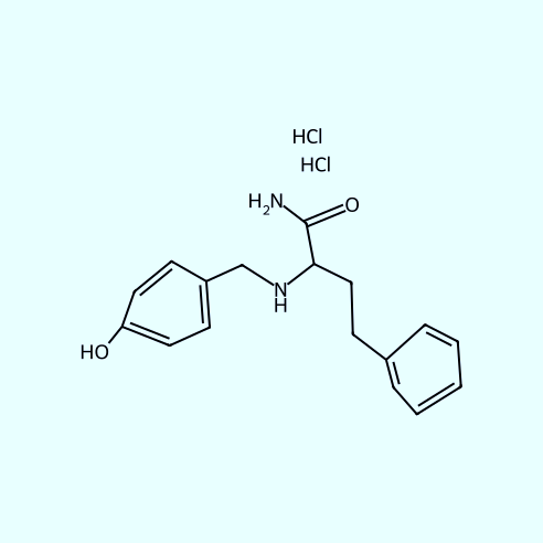 Cl.Cl.NC(=O)C(CCc1ccccc1)NCc1ccc(O)cc1